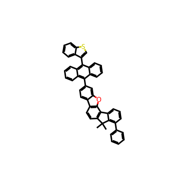 CC1(C)c2ccc3c(oc4cc(-c5c6ccccc6c(-c6csc7ccccc67)c6ccccc56)ccc43)c2-c2cccc(-c3ccccc3)c21